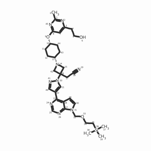 Cc1nc(CCO)cc(O[C@H]2CC[C@@H](N3CC(CC#N)(n4cc(-c5ncnc6c5ccn6COCC[Si](C)(C)C)cn4)C3)CC2)n1